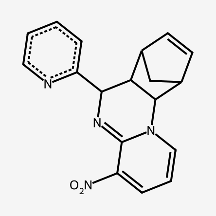 O=[N+]([O-])C1=CC=CN2C1=NC(c1ccccn1)C1C3C=CC(C3)C12